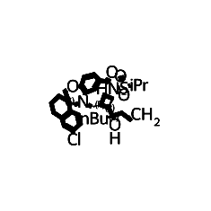 C=CC[C@@](O)(CCCC)[C@@H]1CC[C@H]1CN1C[C@@]2(CCCc3cc(Cl)ccc32)COc2ccc(C(=O)NS(=O)(=O)C(C)C)cc21